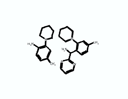 Cc1ccc(C(N)c2ncccn2)c(N2CCCCC2)c1.Cc1ccc(N)c(N2CCCCC2)c1